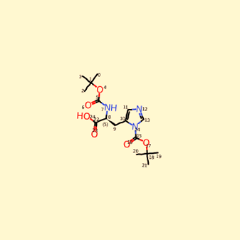 CC(C)(C)OC(=O)N[C@@H](Cc1cncn1C(=O)OC(C)(C)C)C(=O)O